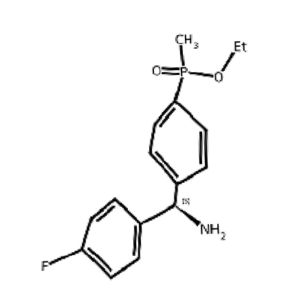 CCOP(C)(=O)c1ccc([C@@H](N)c2ccc(F)cc2)cc1